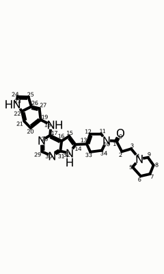 O=C(CCN1CCCCC1)N1CC=C(c2cc3c(Nc4ccc5[nH]ccc5c4)ncnc3[nH]2)CC1